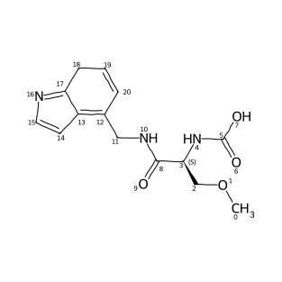 COC[C@H](NC(=O)O)C(=O)NCC1=C2C=CN=C2CC=C1